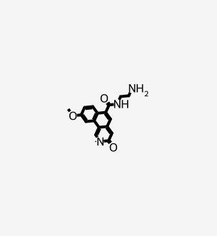 COc1ccc2c(C(=O)NCCN)cc3c(c2c1)=C[N]C(=O)C=3